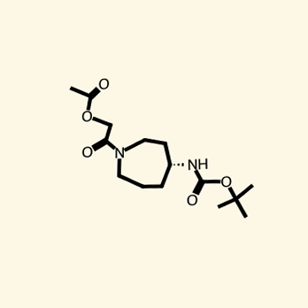 CC(=O)OCC(=O)N1CCC[C@@H](NC(=O)OC(C)(C)C)CC1